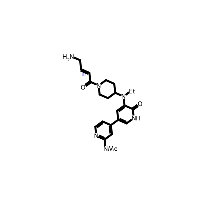 CCN(c1cc(-c2ccnc(NC)c2)c[nH]c1=O)C1CCN(C(=O)/C=C/CN)CC1